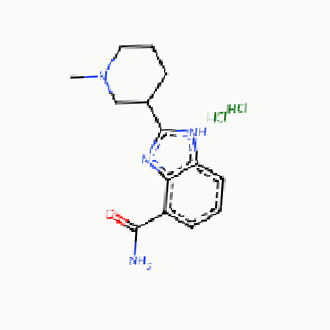 CN1CCCC(c2nc3c(C(N)=O)cccc3[nH]2)C1.Cl.Cl